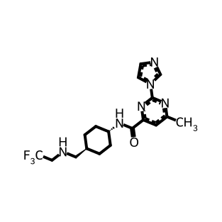 Cc1cc(C(=O)N[C@H]2CC[C@H](CNCC(F)(F)F)CC2)nc(-n2ccnc2)n1